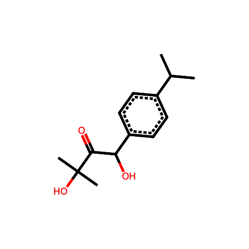 CC(C)c1ccc(C(O)C(=O)C(C)(C)O)cc1